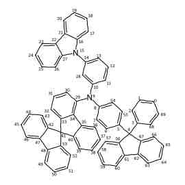 c1ccc(C2(c3ccc(N(c4cccc(-n5c6ccccc6c6ccccc65)c4)c4cccc5c4-c4ccccc4C54c5ccccc5-c5ccccc54)cc3)c3ccccc3-c3ccccc32)cc1